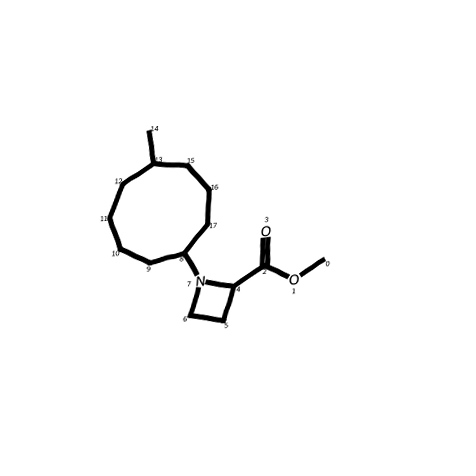 COC(=O)C1CCN1C1CCCCC(C)CCC1